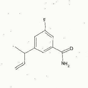 [CH2]C(C=C)c1cc(F)cc(C(N)=O)c1